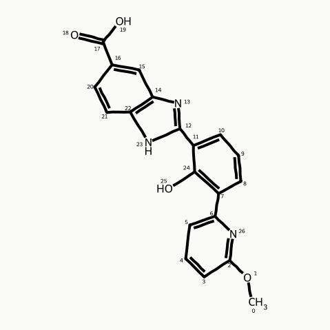 COc1cccc(-c2cccc(-c3nc4cc(C(=O)O)ccc4[nH]3)c2O)n1